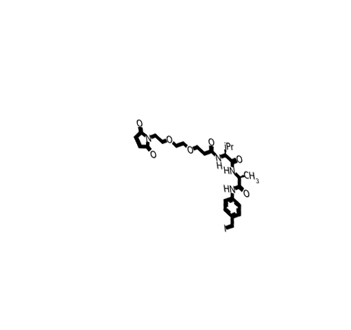 CC(C)[C@H](NC(=O)CCOCCOCCN1C(=O)C=CC1=O)C(=O)N[C@@H](C)C(=O)Nc1ccc(CI)cc1